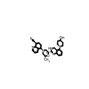 C[C@@H]1CN(c2ccc(C#N)c3ncccc23)C[C@H](C2=Nc3cccc(N4CCC(O)CC4)c3CN2)O1